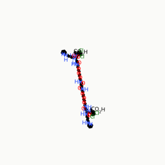 O=C(O)CC(NC(=O)[C@H](CCC(=O)NCCOCCOCCOCCNC(=O)CCC(=O)NCCOCCOCCOCCNC(=O)CC[C@H](NC(=O)CCCCNc1ccccn1)C(=O)NC(CC(=O)O)c1cc(Cl)cc(Cl)c1)NC(=O)CCCCNc1ccccn1)c1cc(Cl)cc(Cl)c1